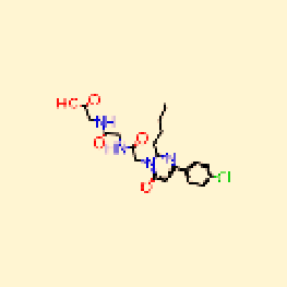 CCCCCc1nc(-c2ccc(Cl)cc2)cc(=O)n1CC(=O)NCC(=O)NCC(=O)O